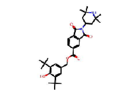 CC1(C)CC(N2C(=O)c3ccc(C(=O)OCc4cc(C(C)(C)C)c(O)c(C(C)(C)C)c4)cc3C2=O)CC(C)(C)N1